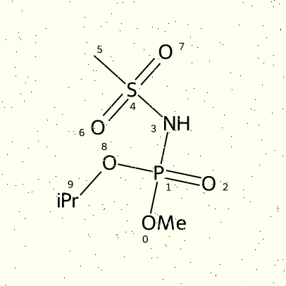 COP(=O)(NS(C)(=O)=O)OC(C)C